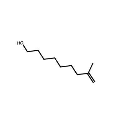 C=C(C)CCCCCCCO